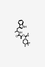 C=C(O/C(=N\C)N1CCN(C)C(C)(C)C1)C(=O)NC(C)Cc1c[nH]c2ccccc12